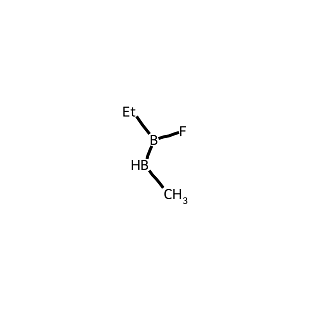 CBB(F)CC